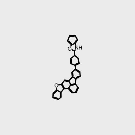 C1=CC(C2Nc3ccccc3O2)CC=C1c1ccc2c(c1)-c1cc3oc4ccccc4c3c3cccc-2c13